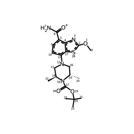 COc1nc2c(C(N)=O)ccc(N3C[C@H](C)N(C(=O)OC(C)(C)C)[C@@H](C)C3)c2s1